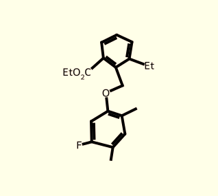 CCOC(=O)c1cccc(CC)c1COc1cc(F)c(C)cc1C